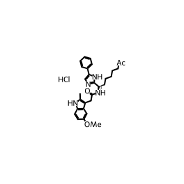 COc1ccc2[nH]c(C)c(CC(=O)N[C@H](CCCCCC(C)=O)c3ncc(-c4ccccc4)[nH]3)c2c1.Cl